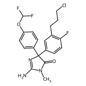 CN1C(=O)C(c2ccc(OC(F)F)cc2)(c2ccc(F)c(CCCCl)c2)N=C1N